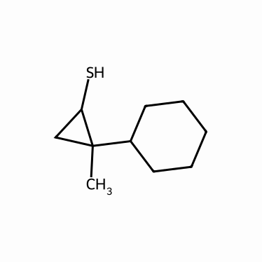 CC1(C2CCCCC2)CC1S